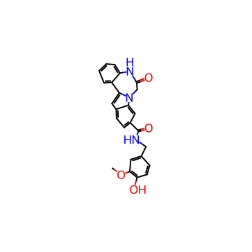 COc1cc(CNC(=O)c2ccc3cc4n(c3c2)CC(=O)Nc2ccccc2-4)ccc1O